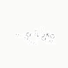 COc1ccc(CCNC(=O)Cc2ccc(OC)c(OS(=O)(=O)c3ccccc3)c2CO)cc1C(=O)CC=O